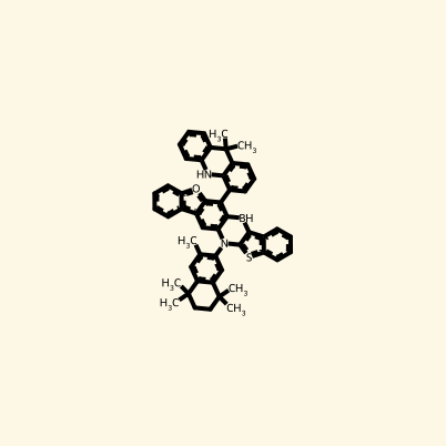 Cc1cc2c(cc1N1c3cc4c(oc5ccccc54)c(-c4cccc5c4Nc4ccccc4C5(C)C)c3Bc3c1sc1ccccc31)C(C)(C)CCC2(C)C